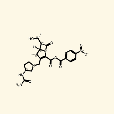 C[C@@H](O)[C@H]1C(=O)N2C(C(=O)OC(=O)c3ccc([N+](=O)[O-])cc3)=C(CN3CC[C@H](NC(N)=O)C3)[C@H](C)[C@H]12